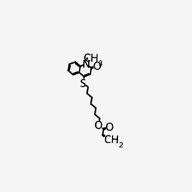 C=CC(=O)OCCCCCCCSc1cc(=O)n(C)c2ccccc12